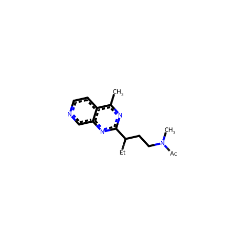 CCC(CCN(C)C(C)=O)c1nc(C)c2ccncc2n1